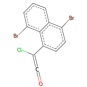 O=C=C(Cl)c1ccc(Br)c2cccc(Br)c12